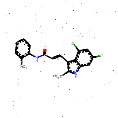 O=C(/C=C/c1c(C(=O)O)[nH]c2cc(Cl)cc(Cl)c12)Nc1ccccc1[N+](=O)[O-]